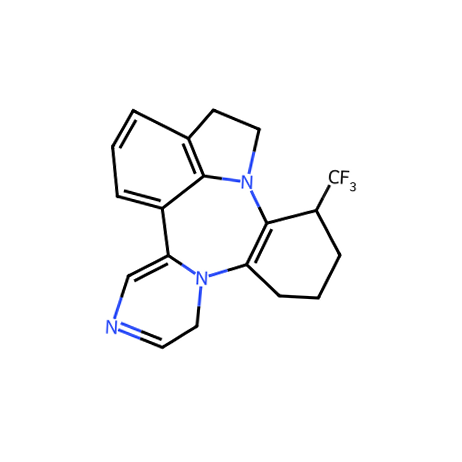 FC(F)(F)C1CCCC2=C1N1CCc3cccc(c31)C1=CN=CCN12